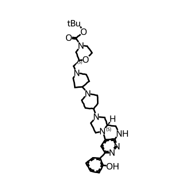 CC(C)(C)OC(=O)N1CCO[C@@H](CN2CCC(N3CCC(N4CCN5c6cc(-c7ccccc7O)nnc6NC[C@H]5C4)CC3)CC2)C1